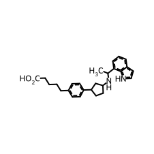 CC(NC1CCC(c2ccc(CCCCC(=O)O)cc2)C1)c1cccc2cc[nH]c12